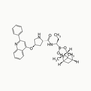 CC[C@H](NC(=O)[C@@H]1C[C@@H](Oc2cc(-c3ccccc3)nc3ccccc23)CN1)B1O[C@@H]2C[C@@H]3C[C@@H](C3(C)C)[C@]2(C)O1